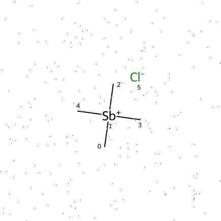 [CH3][Sb+]([CH3])([CH3])[CH3].[Cl-]